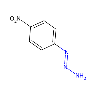 NN=Nc1ccc([N+](=O)[O-])cc1